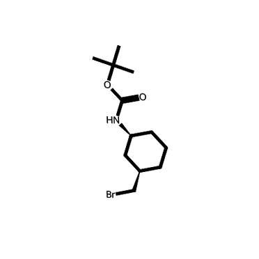 CC(C)(C)OC(=O)N[C@H]1CCC[C@@H](CBr)C1